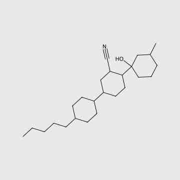 CCCCCC1CCC(C2CCC(C3(O)CCCC(C)C3)C(C#N)C2)CC1